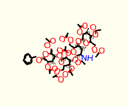 CC(=O)NC1[C@H](O[C@@H]2C(OC(C)=O)[C@H](O[C@@H]3C(COC(C)=O)O[C@@H](OCc4ccccc4)C(OC(C)=O)[C@H]3C)OC(COC(C)=O)[C@@H]2OC(C)=O)OC(COC(C)=O)[C@@H](O[C@@H]2OC(COC(C)=O)[C@H](OC(C)=O)[C@H](C)C2OC(C)=O)[C@@H]1C